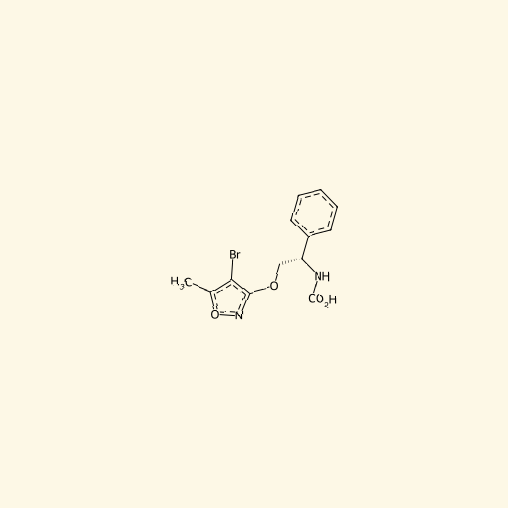 Cc1onc(OC[C@@H](NC(=O)O)c2ccccc2)c1Br